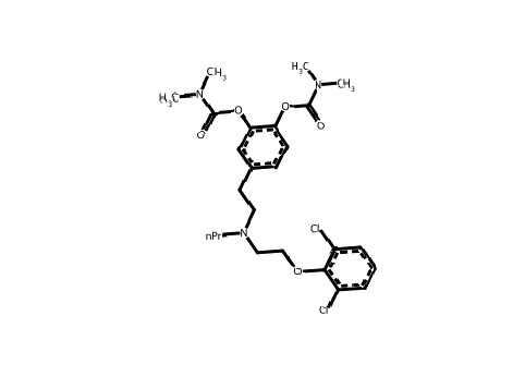 CCCN(CCOc1c(Cl)cccc1Cl)CCc1ccc(OC(=O)N(C)C)c(OC(=O)N(C)C)c1